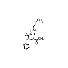 CCCCC(=S)ONC(=O)[C@@H](CSC(C)=O)Cc1ccccc1